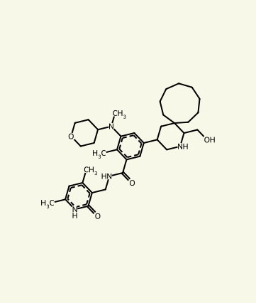 Cc1cc(C)c(CNC(=O)c2cc(C3CNC(CO)C4(CCCCCCCC4)C3)cc(N(C)C3CCOCC3)c2C)c(=O)[nH]1